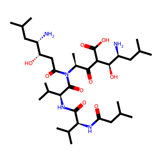 CC(C)CC(=O)N[C@H](C(=O)N[C@H](C(=O)N(C(=O)C[C@H](O)[C@@H](N)CC(C)C)[C@@H](C)C(=O)C(C(=O)O)[C@H](O)[C@@H](N)CC(C)C)C(C)C)C(C)C